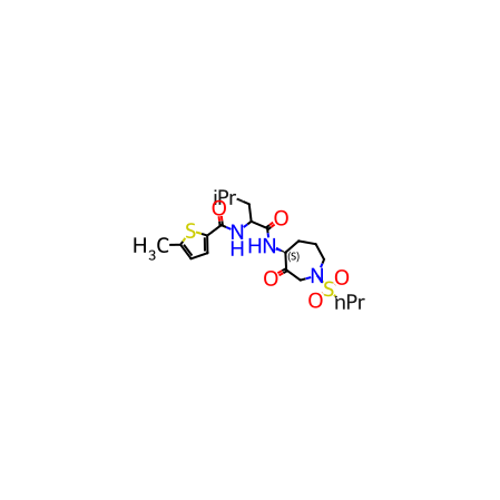 CCCS(=O)(=O)N1CCC[C@H](NC(=O)C(CC(C)C)NC(=O)c2ccc(C)s2)C(=O)C1